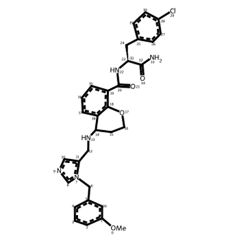 COc1cccc(Cn2cncc2CNC2CCOc3c(C(=O)N[C@@H](Cc4ccc(Cl)cc4)C(N)=O)cccc32)c1